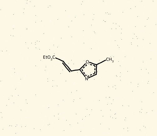 CCOC(=O)C=Cc1ncc(C)o1